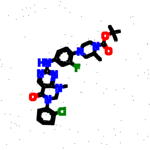 CC1CN(c2ccc(Nc3ncc4c(n3)N(C)CN(c3ccccc3Cl)C4=O)cc2F)CCN1C(=O)OC(C)(C)C